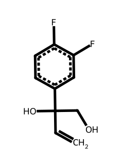 C=CC(O)(CO)c1ccc(F)c(F)c1